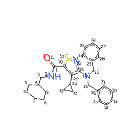 O=C(NCC1CCCCC1)c1snc(N(Cc2ccccc2)Cc2ccccc2)c1C1CC1